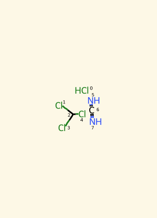 Cl.ClC(Cl)Cl.N=C=N